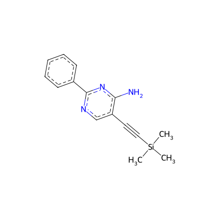 C[Si](C)(C)C#Cc1cnc(-c2ccccc2)nc1N